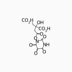 O=C(O)CC(O)(CC(=O)ON1C(=O)NC(=O)C(=O)C1=O)C(=O)O